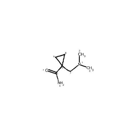 CN(C)CC1(C(N)=O)CC1